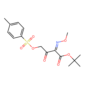 CON=C(C(=O)COS(=O)(=O)c1ccc(C)cc1)C(=O)OC(C)(C)C